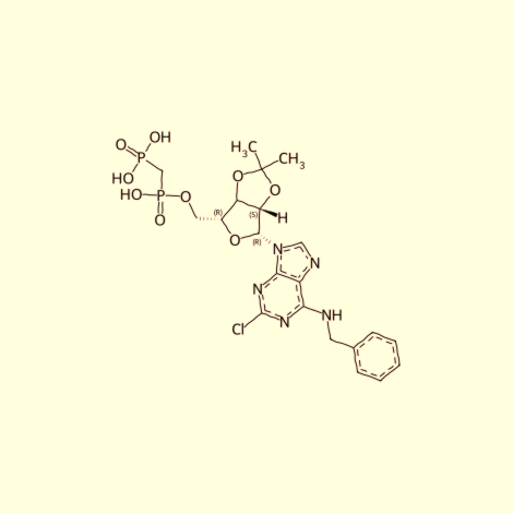 CC1(C)OC2[C@@H](COP(=O)(O)CP(=O)(O)O)O[C@@H](n3cnc4c(NCc5ccccc5)nc(Cl)nc43)[C@H]2O1